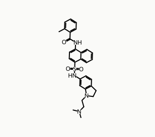 Cc1ccccc1C(=O)Nc1ccc(S(=O)(=O)Nc2ccc3c(c2)N(CCN(C)C)CC3)c2ccccc12